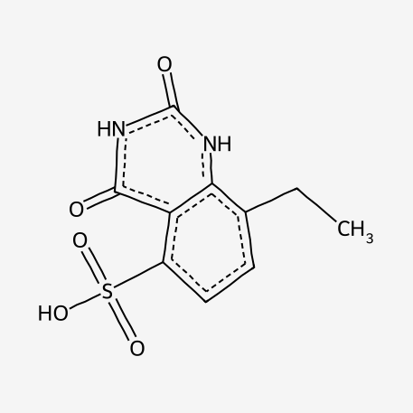 CCc1ccc(S(=O)(=O)O)c2c(=O)[nH]c(=O)[nH]c12